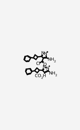 Cn1nc(C2CC(c3ccccc3)C2)c(C(=O)Cl)c1N.Cn1nc(C2CC(c3ccccc3)C2)c(C(=O)O)c1N